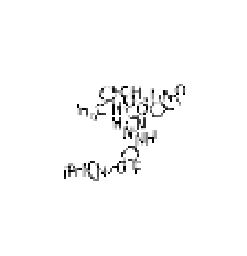 Cc1cccc(C)c1NC(=O)c1cnc(Nc2ccc(OCCN3CCN(C(C)C)CC3)c(F)c2)nc1Oc1ccc2c(c1)NC(=O)CC2